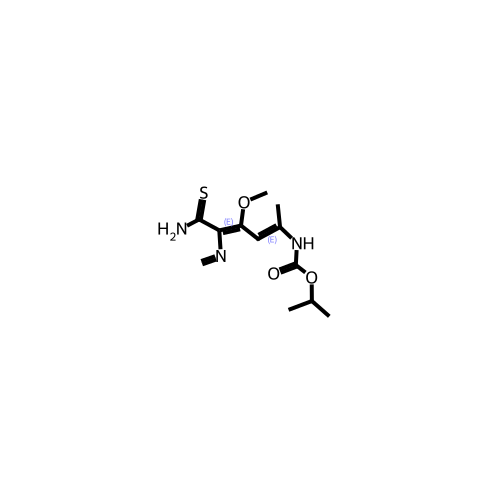 C=N/C(C(N)=S)=C(\C=C(/C)NC(=O)OC(C)C)OC